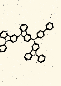 c1ccc(-c2ccc(N(c3ccc4c(c3)c3ccccc3n4-c3ccccc3)c3ccc4c(c3)c3ccccc3n4-c3ccc4c(c3)c3ncccc3n4-c3ccccc3)cc2)cc1